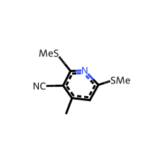 CSc1cc(C)c(C#N)c(SC)n1